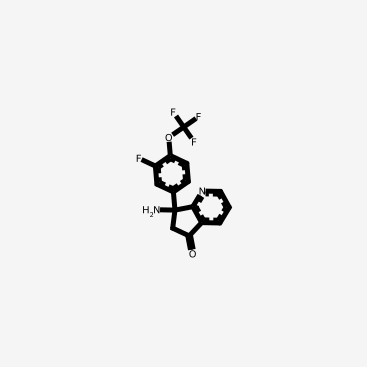 NC1(c2ccc(OC(F)(F)F)c(F)c2)CC(=O)c2cccnc21